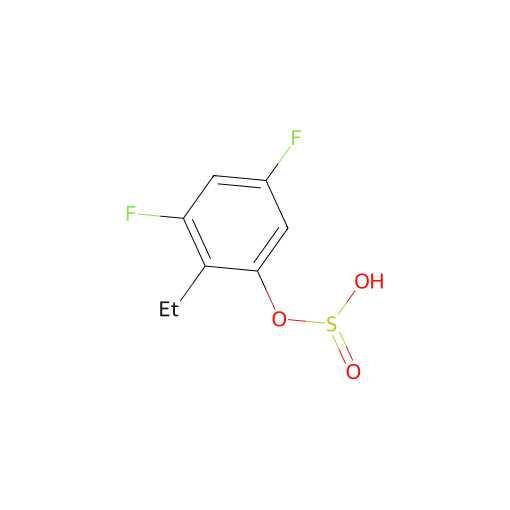 CCc1c(F)cc(F)cc1OS(=O)O